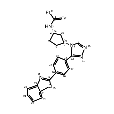 CCC(=O)N[C@H]1CC[C@@H](n2cnnc2-c2ccc(-c3nc4ccccc4o3)cc2)C1